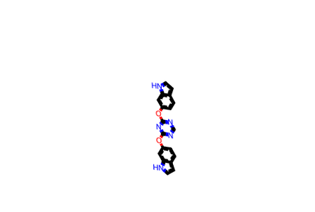 c1nc(Oc2ccc3cc[nH]c3c2)nc(Oc2ccc3cc[nH]c3c2)n1